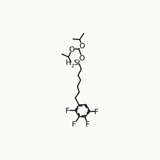 CC(C)OC(O[SiH2]CCCCCCc1cc(F)c(F)c(F)c1F)OC(C)C